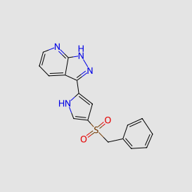 O=S(=O)(Cc1ccccc1)c1c[nH]c(-c2n[nH]c3ncccc23)c1